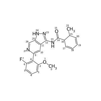 COc1cccc(F)c1-c1cc2c(NC(=O)C3C=CC=CC3C)n[nH]c2cn1